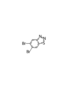 Brc1cc2nnsc2cc1Br